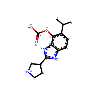 CC(C)c1ccc2[nH]c(C3CCNC3)nc2c1OC(=O)O